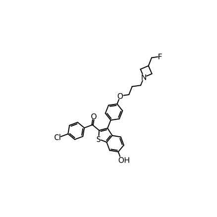 O=C(c1ccc(Cl)cc1)c1sc2cc(O)ccc2c1-c1ccc(OCCCN2CC(CF)C2)cc1